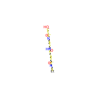 CCSCC/N=C/[S+]([O-])CCSCSCCSC(=O)NCCSCSCC/N=C/[S+]([O-])CSCSCO